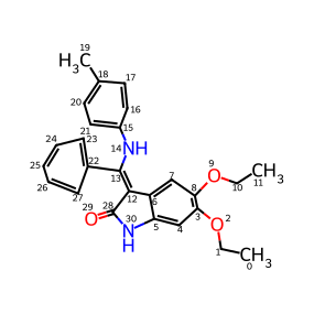 CCOc1cc2c(cc1OCC)C(=C(Nc1ccc(C)cc1)c1ccccc1)C(=O)N2